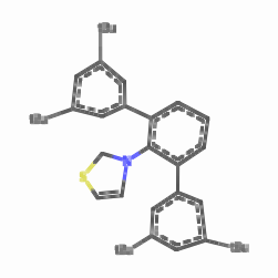 CC(C)(C)c1cc(-c2cccc(-c3cc(C(C)(C)C)cc(C(C)(C)C)c3)c2N2C=CSC2)cc(C(C)(C)C)c1